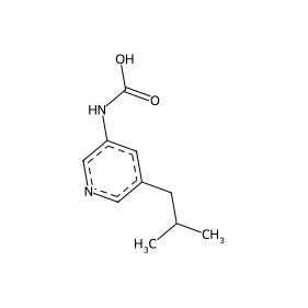 CC(C)Cc1cncc(NC(=O)O)c1